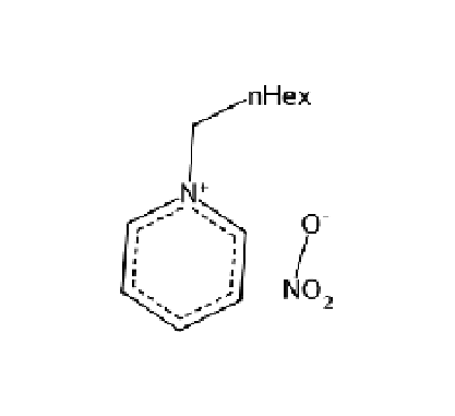 CCCCCCC[n+]1ccccc1.O=[N+]([O-])[O-]